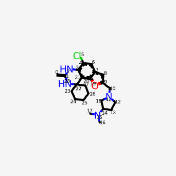 C=C1Nc2c(Cl)cc3cc(CN4CCC(N(C)C)C4)oc3c2C2(CCCCC2)N1